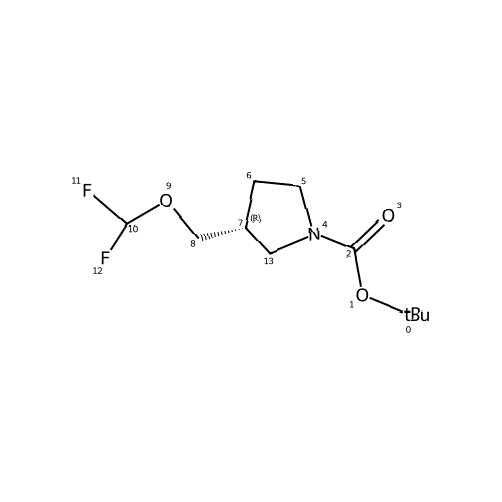 CC(C)(C)OC(=O)N1CC[C@@H](COC(F)F)C1